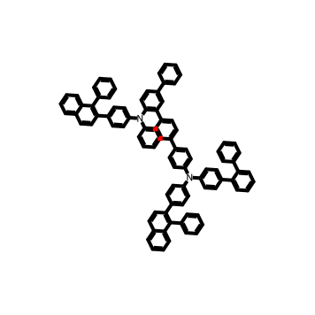 c1ccc(-c2ccc(N(c3ccccc3)c3ccc(-c4ccc5ccccc5c4-c4ccccc4)cc3)c(-c3ccc(-c4ccc(N(c5ccc(-c6ccccc6-c6ccccc6)cc5)c5ccc(-c6ccc7ccccc7c6-c6ccccc6)cc5)cc4)cc3)c2)cc1